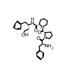 N[C@@H](Cc1ccccc1)C(=O)N1CCC[C@H]1C(=O)N1CCCC[C@H]1C(=O)N[C@H](CCO)Cc1ccccc1